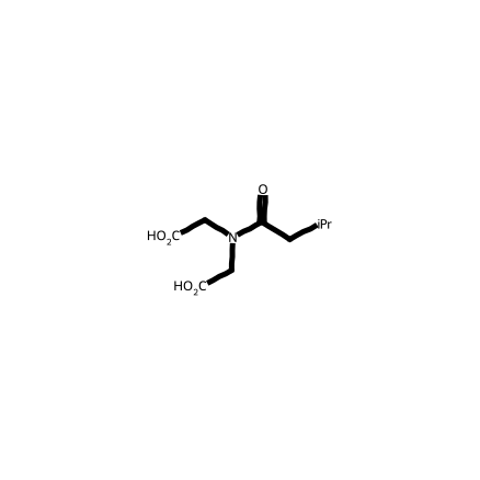 CC(C)CC(=O)N(CC(=O)O)CC(=O)O